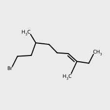 CCC(C)=CCCC(C)CCBr